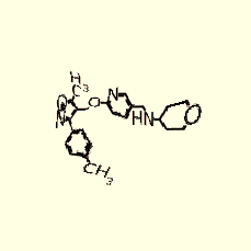 Cc1ccc(-c2noc(C)c2COc2ccc(CNC3CCOCC3)cn2)cc1